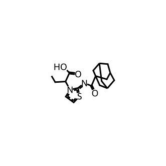 CCC(C(=O)O)n1ccsc1=NC(=O)C12CC3CC(CC(C3)C1)C2